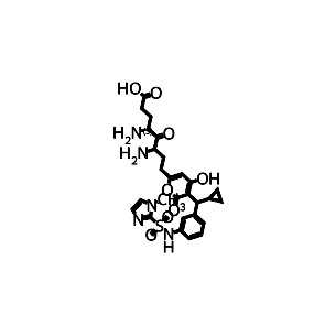 Cn1ccnc1S(=O)(=O)Nc1cccc(C(c2c(O)cc(CCC(N)C(=O)[C@@H](N)CCC(=O)O)oc2=O)C2CC2)c1